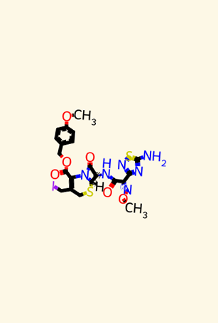 CO/N=C(\C(=O)N[C@@H]1C(=O)N2C(C(=O)OCc3ccc(OC)cc3)=C(CI)CS[C@@H]12)c1nsc(N)n1